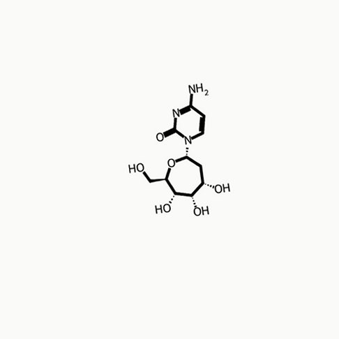 Nc1ccn([C@@H]2C[C@H](O)[C@H](O)[C@H](O)[C@@H](CO)O2)c(=O)n1